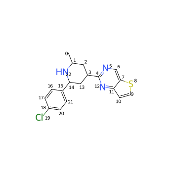 CC1CC(c2ncc3sccc3n2)CC(c2ccc(Cl)cc2)N1